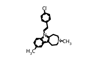 Cc1ccc2c(c1)c1c(n2C=Cc2ccc(Cl)cc2)CCN(C)CC1